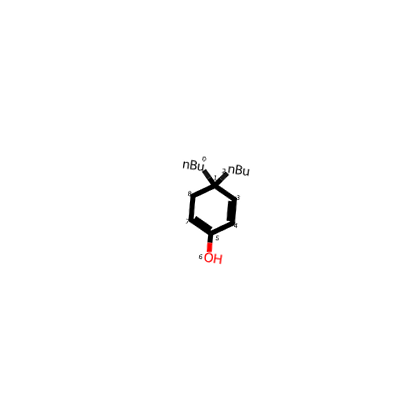 CCCCC1(CCCC)C=CC(O)=CC1